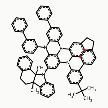 CC(C)(C)c1ccc(N2c3cc4c(cc3B3c5ccc(-c6ccccc6)cc5N(c5cccc(-c6ccccc6)c5)c5cc(N6c7ccccc7C7(C)CCc8ccccc8C67C)cc2c53)CCC4)c(-c2ccccc2)c1